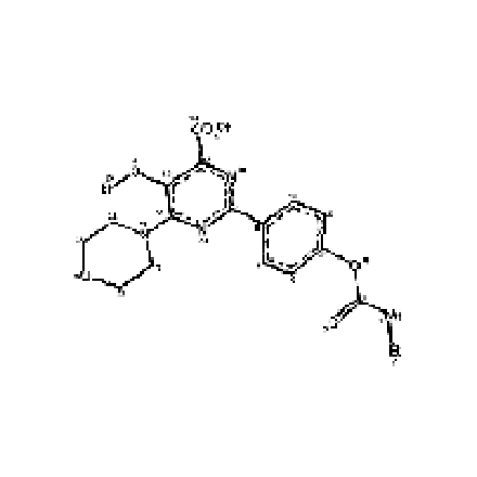 CCNC(=O)Oc1ccc(-c2nc(C(=O)OCC)c(OCC)c(N3CCOCC3)n2)cc1